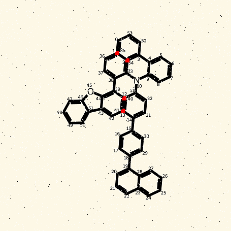 c1ccc(-c2ccccc2N(c2ccc(-c3ccc(-c4cccc5ccccc45)cc3)cc2)c2ccccc2-c2cccc3c2oc2ccccc23)cc1